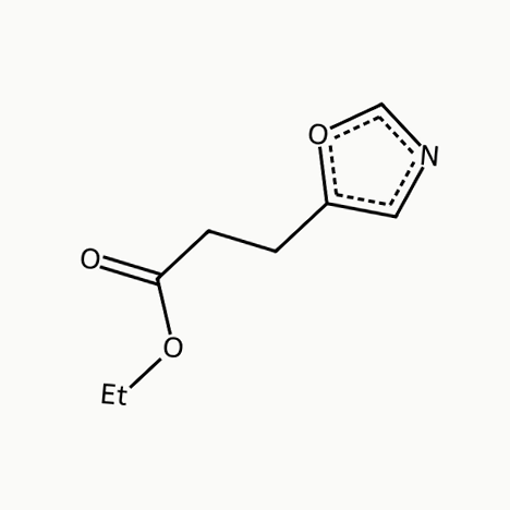 CCOC(=O)CCc1cnco1